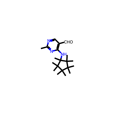 Cc1ncc(C=O)c(NC2(C)C(C)(C)C(C)(C)C(C)(C)C2(C)C)n1